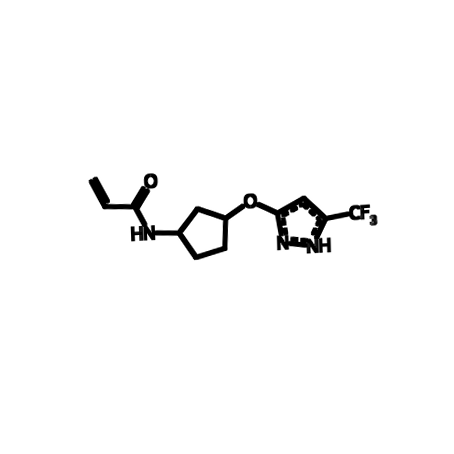 C=CC(=O)NC1CCC(Oc2cc(C(F)(F)F)[nH]n2)C1